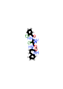 O=C(Nc1[nH]nc(C(=O)NC2CCc3ccccc3NC2=O)c1Cl)c1ccccc1Cl